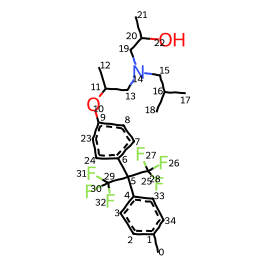 Cc1ccc(C(c2ccc(OC(C)CN(CC(C)C)CC(C)O)cc2)(C(F)(F)F)C(F)(F)F)cc1